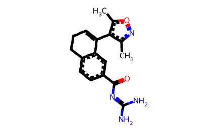 Cc1noc(C)c1C1=CCCc2ccc(C(=O)N=C(N)N)cc21